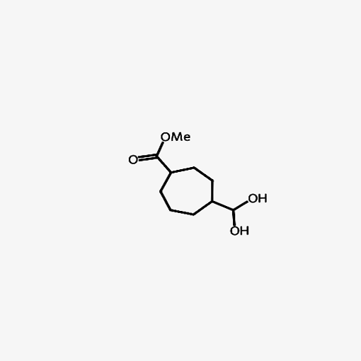 COC(=O)C1CCCC(C(O)O)CC1